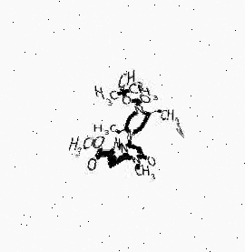 CC[C@@H]1CN(c2cc(=O)n(C)c3cc(C(=O)OC)nn23)[C@@H](CC)CN1C(=O)OC(C)(C)C